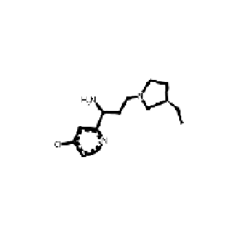 CC[C@@H]1CCN(CCC(N)c2cc(Cl)ccn2)C1